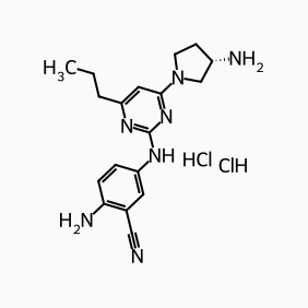 CCCc1cc(N2CC[C@H](N)C2)nc(Nc2ccc(N)c(C#N)c2)n1.Cl.Cl